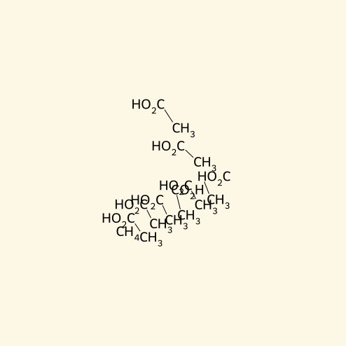 C.CC(=O)O.CC(=O)O.CC(=O)O.CC(=O)O.CC(=O)O.CC(=O)O.CC(=O)O.CC(=O)O